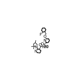 CC1CN(c2ncccc2C(=O)NS(=O)(=O)c2cccc(OCc3ccccc3F)n2)C(C)(C)C1